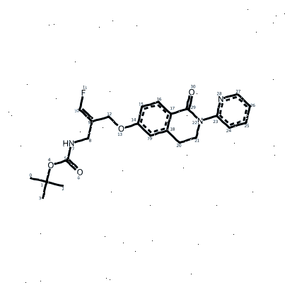 CC(C)(C)OC(=O)NC/C(=C/F)COc1ccc2c(c1)CCN(c1ccccn1)C2=O